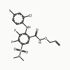 C=CCONC(=O)c1cc(S(=O)(=O)N(C)C)c(F)c(F)c1Nc1ccc(I)cc1Cl